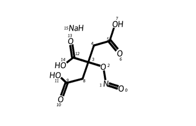 O=NOC(CC(=O)O)(CC(=O)O)C(=O)O.[NaH]